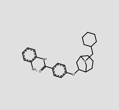 Nc1ccccc1NC(=O)c1ccc(OC2CC3CCCC2CN3CC2CCCCC2)cc1